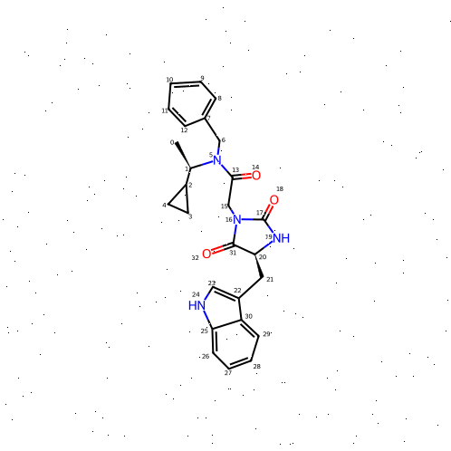 C[C@H](C1CC1)N(Cc1ccccc1)C(=O)CN1C(=O)N[C@@H](Cc2c[nH]c3ccccc23)C1=O